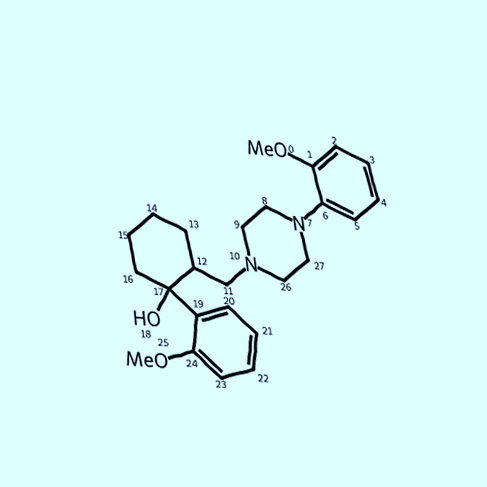 COc1ccccc1N1CCN(CC2CCCCC2(O)c2ccccc2OC)CC1